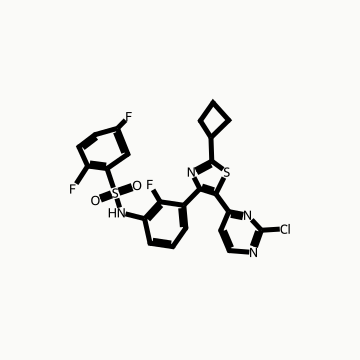 O=S(=O)(Nc1cccc(-c2nc(C3CCC3)sc2-c2ccnc(Cl)n2)c1F)c1cc(F)ccc1F